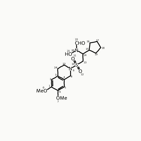 COc1cc2c(cc1OC)CN(S(=O)(=O)CC(C1CCCC1)N(O)C=O)CC2